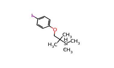 C[SiH](C)C(C)(C)COc1ccc(I)cc1